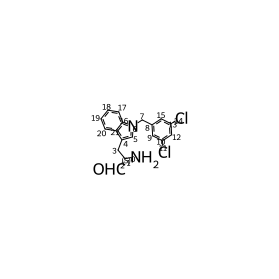 N[C@H](C=O)Cc1cn(Cc2cc(Cl)cc(Cl)c2)c2ccccc12